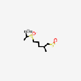 CCCCC(C)[S+]([O-])CCCC(C)C[S+]=O